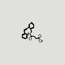 COC(=O)CCC(=O)N1Cc2ccccc2C#Cc2ccccc21